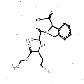 CCCC(N[C@@H](C)C(=O)N1Cc2ccccc2C1C(=O)O)C(=O)OCC